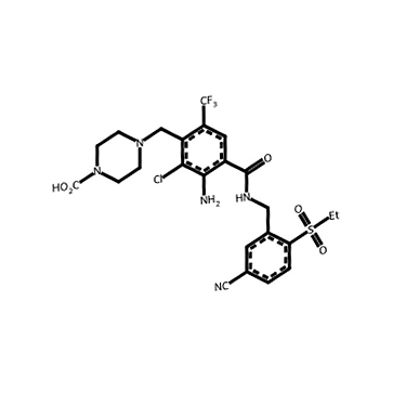 CCS(=O)(=O)c1ccc(C#N)cc1CNC(=O)c1cc(C(F)(F)F)c(CN2CCN(C(=O)O)CC2)c(Cl)c1N